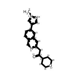 Cn1cc(-c2ccc3cnc(CC(=O)C4CCOCC4)cc3c2)cn1